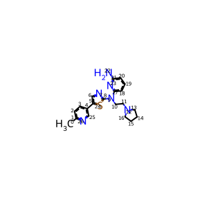 Cc1ccc(-c2cnc(N(CCN3CCCC3)c3cccc(N)n3)s2)cn1